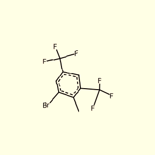 Cc1c(Br)cc(C(F)(F)F)cc1C(F)(F)F